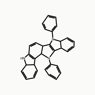 C1=CC2NC3=C(C2C=C1)C1C(C=C3)C2=C(C3C=CC=CC3N2c2ccccc2)N1c1ccccc1